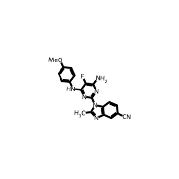 COc1ccc(Nc2nc(-n3c(C)nc4cc(C#N)ccc43)nc(N)c2F)cc1